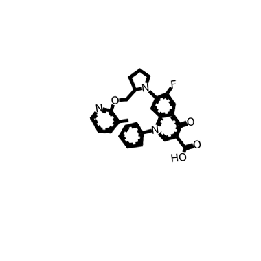 Cc1cccnc1OCC1CCCN1c1cc2c(cc1F)c(=O)c(C(=O)O)cn2-c1ccccc1